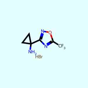 Br.NC1(c2noc(C(F)(F)F)n2)CC1